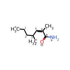 CCCC(C)C=C(C)C(N)=O